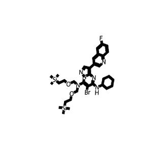 C[Si](C)(C)CCOCN(COCC[Si](C)(C)C)c1c(Br)c(NC2CCCCC2)nc2c(-c3cnc4ccc(F)cc4c3)cnn12